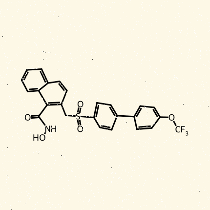 O=C(NO)c1c(CS(=O)(=O)c2ccc(-c3ccc(OC(F)(F)F)cc3)cc2)ccc2ccccc12